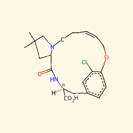 CC1(C)CC2C(=O)N[C@H](C(=O)O)Cc3ccc(c(Cl)c3)OCC=CCCN2C1